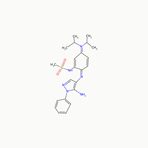 CC(C)[N+](=C1C=C/C(=N/c2cnn(-c3ccccc3)c2N)C(NS(C)(=O)=O)=C1)C(C)C